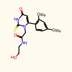 COc1ccc(-c2cc(=O)[nH]c(=S)n2CC(=O)NCCO)c(OC)c1